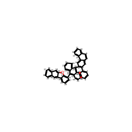 c1ccc(-c2cc3ccc4ccccc4c3cc2-c2c3ccccc3c(-c3cccc4c3oc3cc5ccccc5cc34)c3ccccc23)cc1